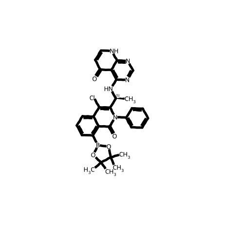 C[C@H](Nc1ncnc2[nH]ccc(=O)c12)c1c(Cl)c2cccc(B3OC(C)(C)C(C)(C)O3)c2c(=O)n1-c1ccccc1